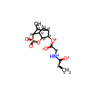 C=CC(=O)NCC(=O)OC1C2CC3C1OS(=O)(=O)C3C2C